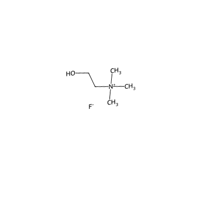 C[N+](C)(C)CCO.[F-]